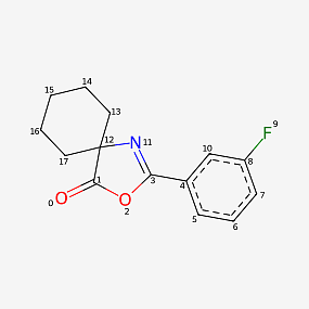 O=C1OC(c2cccc(F)c2)=NC12CCCCC2